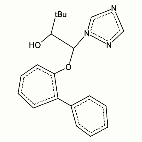 CC(C)(C)C(O)C(Oc1ccccc1-c1ccccc1)n1cncn1